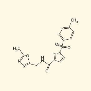 Cc1ccc(S(=O)(=O)n2ccc(C(=O)NCc3nnc(C)o3)c2)cc1